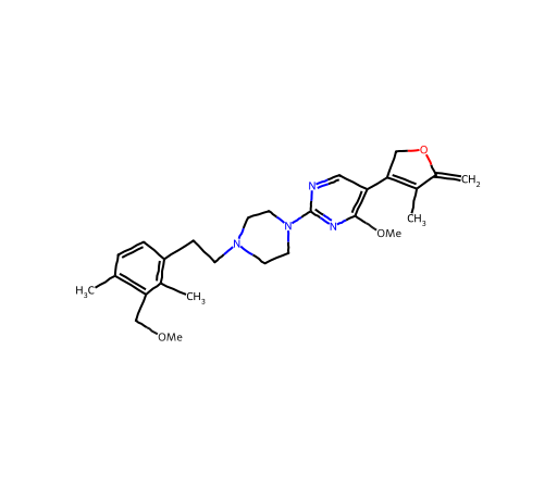 C=C1OCC(c2cnc(N3CCN(CCc4ccc(C)c(COC)c4C)CC3)nc2OC)=C1C